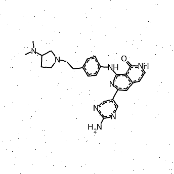 CN(C)C1CCN(CCc2ccc(Nc3nc(-c4cnc(N)nc4)cc4cc[nH]c(=O)c34)cc2)C1